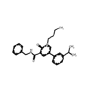 CCCCn1cc(-c2cccc(C(C)C)c2)cc(C(=O)NCc2ccccc2)c1=O